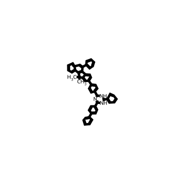 CC1(C)c2cc(-c3ccc(C4N=C(c5ccc(-c6ccccc6)cc5)NC(c5ccccc5)N4)cc3)ccc2-c2c(-c3ccccc3)cc3ccccc3c21